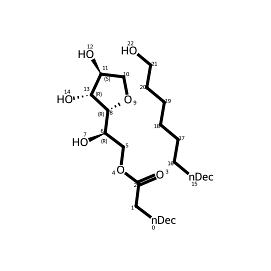 CCCCCCCCCCCC(=O)OC[C@@H](O)[C@H]1OC[C@H](O)[C@H]1O.CCCCCCCCCCCCCCCCO